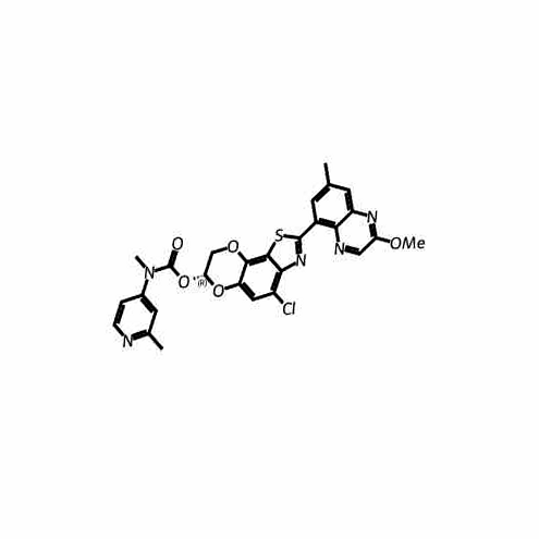 COc1cnc2c(-c3nc4c(Cl)cc5c(c4s3)OC[C@@H](OC(=O)N(C)c3ccnc(C)c3)O5)cc(C)cc2n1